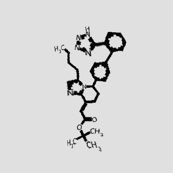 CCCCc1cnc2n1C(c1ccc(-c3ccccc3-c3nnn[nH]3)cc1)CCC2=CC(=O)OC(C)(C)C